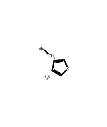 CCCCC.S.c1ccsc1